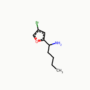 CCCCC(N)c1cc(Br)co1